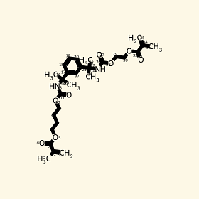 C=C(C)C(=O)OCCCCOC(=O)NC(C)(C)c1cccc(C(C)(C)NC(=O)OCCOC(=O)C(=C)C)c1